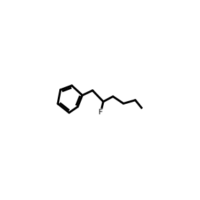 CCCCC(F)Cc1ccccc1